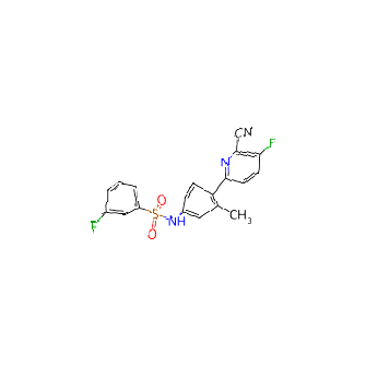 Cc1cc(NS(=O)(=O)c2cccc(F)c2)ccc1-c1ccc(F)c(C#N)n1